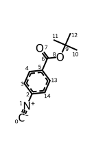 [C-]#[N+]c1ccc(C(=O)OC(C)(C)C)cc1